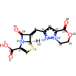 O=C(O)C1=CS[C@@H]2/C(=C\c3cc4n(n3)CCOC4=O)C(=O)N12